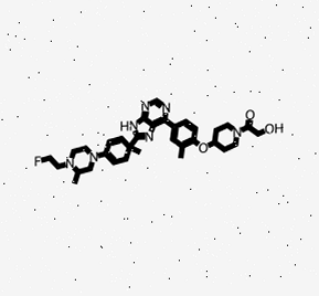 Cc1cc(-c2ncnc3[nH]c(C4(C)C=CC(N5CCN(CCF)C(C)C5)=CC4)nc23)ccc1OC1CCN(C(=O)CO)CC1